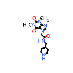 Cn1c(=O)c2c(ncn2CC(=O)NCC2=CCNC=C2)n(C)c1=O